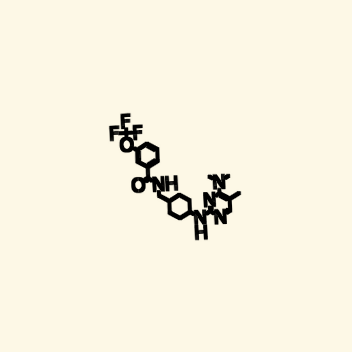 Cc1cnc(NC2CCC(CNC(=O)c3cccc(OC(F)(F)F)c3)CC2)nc1N(C)C